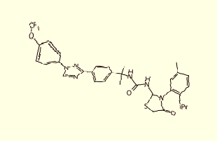 Cc1ccc(C(C)C)c(N2C(=O)CSC2NC(=O)NC(C)(C)c2ccc(-c3ncn(-c4ccc(OC(F)(F)F)cc4)n3)cc2)c1